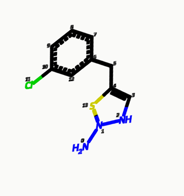 NN1NC=C(Cc2cccc(Cl)c2)S1